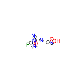 CC(C)N(C(=O)c1cc(F)ccc1-n1cc(C2CN(CC[C@H]3CC[C@H](N(C(=O)O)C(C)(C)C)CC3)C2)c2ccncc21)C(C)C